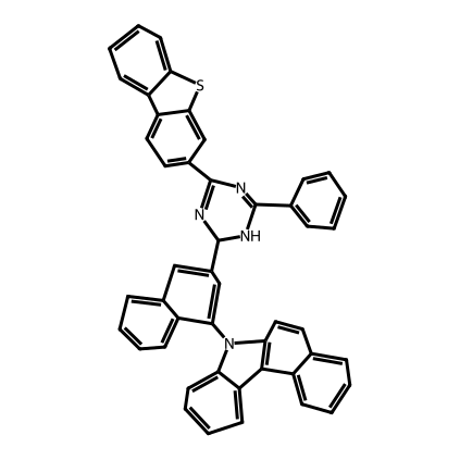 c1ccc(C2=NC(c3ccc4c(c3)sc3ccccc34)=NC(c3cc(-n4c5ccccc5c5c6ccccc6ccc54)c4ccccc4c3)N2)cc1